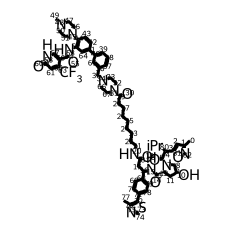 Cc1cc(C(C(=O)N2C[C@H](O)C[C@H]2C(=O)NC(CC(=O)NCCCCCCCCC(=O)N2CCN(Cc3cccc(-c4ccc(N5CCN(C)CC5)c(NC(=O)c5c[nH]c(=O)cc5C(F)(F)F)c4)c3)CC2)c2ccc(-c3scnc3C)cc2)C(C)C)on1